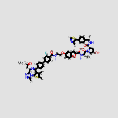 COC(=O)C[C@@H]1N=C(c2ccc(-c3ccc(C(=O)NCCOc4ccc5oc(C(=O)N[C@H](C(=O)N6C[C@H](O)C[C@H]6C(=O)N[C@@H](C)c6ccc(-c7scnc7C)cc6)C(C)(C)C)cc5c4)c(F)c3)cc2)c2c(sc(C)c2C)-n2c(C)nnc21